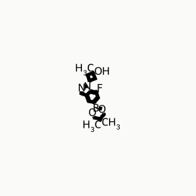 CC1(C)COB(c2cc(F)c3c(cnn3C3CC(C)(O)C3)c2)OC1